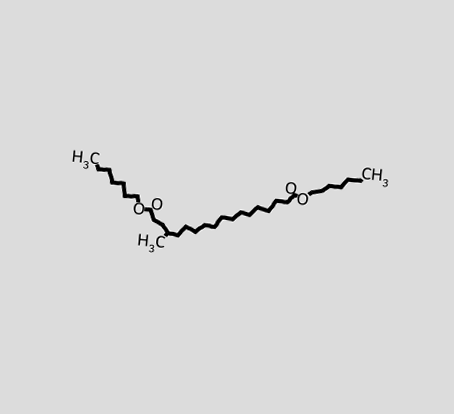 CCCCCCCOC(=O)CCCCCCCCCCCCCC(C)CCC(=O)OCCCCCCC